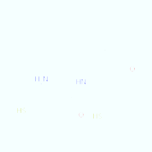 CC(C)(C)C(=O)[C@H](CS)NC(=O)[C@@H](N)CS